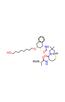 CN[C@@H](C)C(=O)N[C@H]1CCS[C@H]2CC(C)(C)[C@@H](C(=O)N[C@H]3c4ccccc4C[C@@H](OCCCCCCCCO)[C@H]3C)N2C1=O